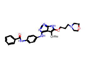 COc1c(OCCCN2CCOCC2)[nH]c2ncnc(Nc3ccc(NC(=O)c4ccccc4)cc3)c12